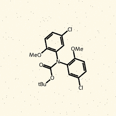 COc1ccc(Cl)cc1N(C(=O)OC(C)(C)C)c1cc(Cl)ccc1OC